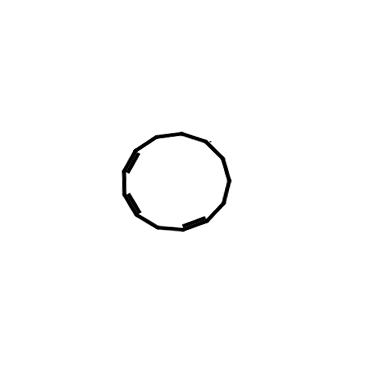 [CH]1CCC=CC=CCC=CCCC1